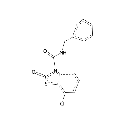 O=C(NCc1ccccc1)n1c(=O)sc2c(Cl)cccc21